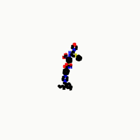 C=C(CCC)C1=C(CN2CCN(c3ccc(C(=O)NS(=O)(=O)c4ccc(N[C@H](CCN5CCOCC5)CSc5ccccc5)c([N+](=O)[O-])c4)cc3)CC2)CCC(C)(C)C1